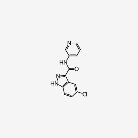 O=C(Nc1cccnc1)c1n[nH]c2ccc(Cl)cc12